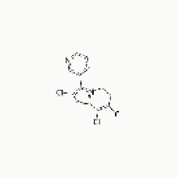 ClC1=C(Cl)c2cc(Cl)c(-c3cccnc3)n2CC1